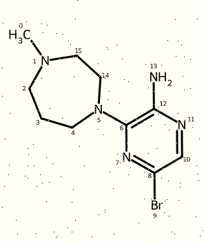 CN1CCCN(c2nc(Br)cnc2N)CC1